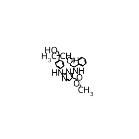 CCOC(=O)c1cnc(Nc2ccc(C(C)(C)CO)cc2)nc1NC(CO)c1ccccc1